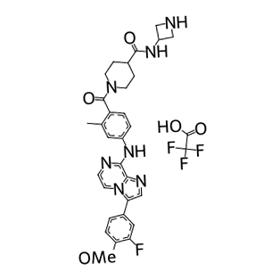 COc1ccc(-c2cnc3c(Nc4ccc(C(=O)N5CCC(C(=O)NC6CNC6)CC5)c(C)c4)nccn23)cc1F.O=C(O)C(F)(F)F